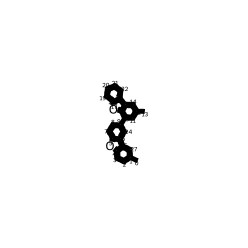 Cc1ccc2oc3ccc(-c4cc(C)cc5c4oc4ccccc45)cc3c2c1